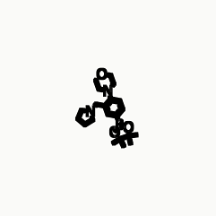 CC1(C)OB(c2ccc(N3CCOCC3)c(CN3CCCC3)c2)OC1(C)C